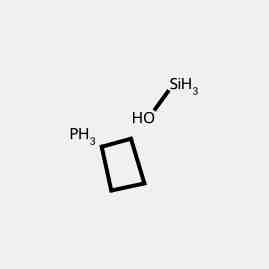 C1CCC1.O[SiH3].P